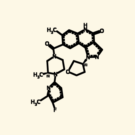 Cc1cc2[nH]c(=O)c3cnn([C@H]4CCOC4)c3c2cc1C(=O)N1CCN(c2ccc(F)c(C)n2)[C@@H](C)C1